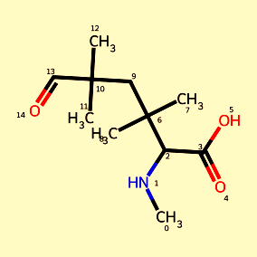 CNC(C(=O)O)C(C)(C)CC(C)(C)C=O